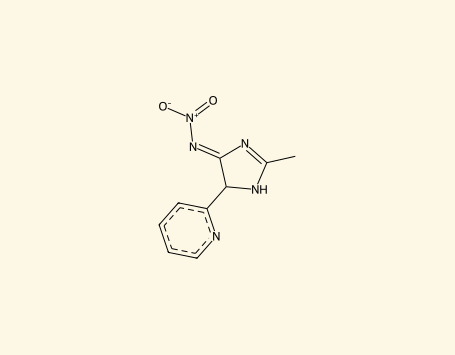 CC1=NC(=N[N+](=O)[O-])C(c2ccccn2)N1